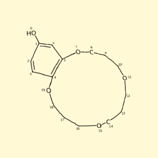 Oc1ccc2c(c1)OCCCOCCCOCCCO2